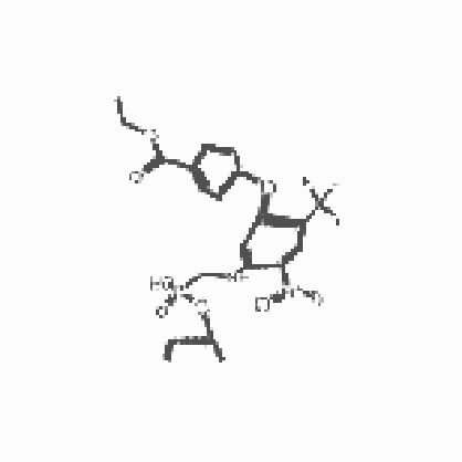 CCOC(=O)c1ccc(Oc2cc(NCP(=O)(O)OC(C)CC)c([N+](=O)[O-])cc2C(F)(F)F)cc1